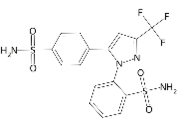 NS(=O)(=O)c1ccc(-c2cc(C(F)(F)F)nn2-c2ccccc2S(N)(=O)=O)cc1